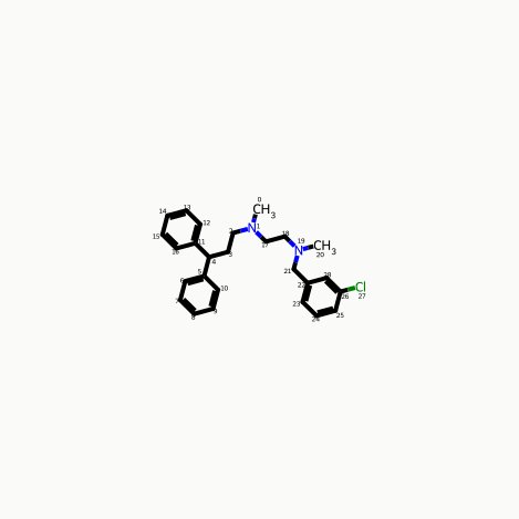 CN(CCC(c1ccccc1)c1ccccc1)CCN(C)Cc1cccc(Cl)c1